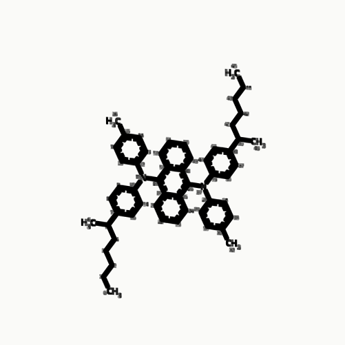 CCCCCC(C)c1ccc(N(c2ccc(C)cc2)c2c3ccccc3c(N(c3ccc(C)cc3)c3ccc(C(C)CCCCC)cc3)c3ccccc23)cc1